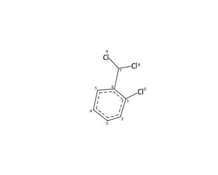 Clc1ccccc1C(Cl)Cl